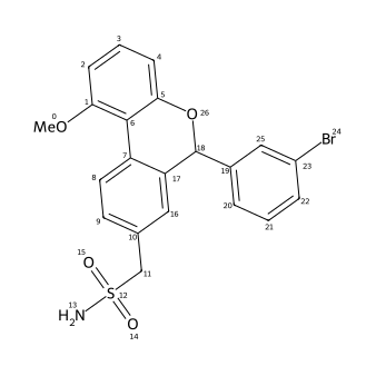 COc1cccc2c1-c1ccc(CS(N)(=O)=O)cc1C(c1cccc(Br)c1)O2